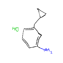 Cl.Nc1cccc(C2CC2)c1